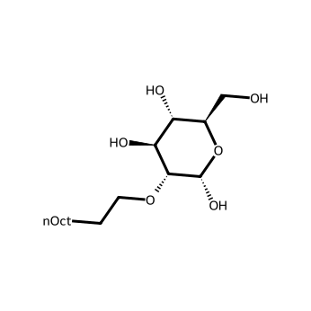 CCCCCCCCCCO[C@@H]1[C@@H](O)[C@H](O)[C@@H](CO)O[C@@H]1O